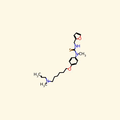 C=CCN(C)CCCCCCOc1ccc(N(C)C(=S)NCc2ccco2)cc1